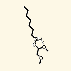 CCCCCCC[SiH2]OC(COC)OC